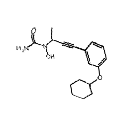 CC(C#Cc1cccc(OC2CCCCC2)c1)N(O)C(N)=O